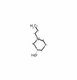 [CH2]CCN1CCC[C@H](O)C1